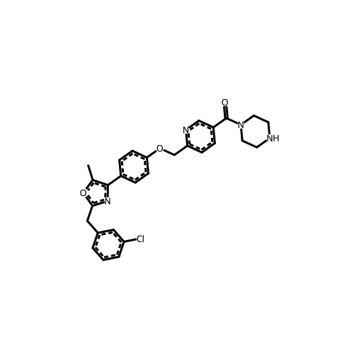 Cc1oc(Cc2cccc(Cl)c2)nc1-c1ccc(OCc2ccc(C(=O)N3CCNCC3)cn2)cc1